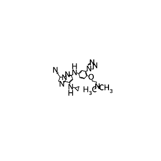 CN(C)CCOc1ccc(NC2=NN3C(=NCC3C#N)C(NC3CC3)=C2)cc1-n1cnnc1